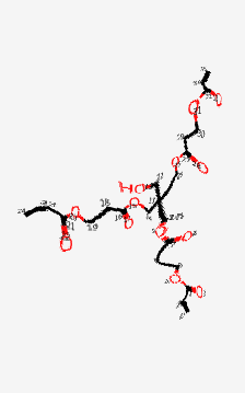 C=CC(=O)OCCC(=O)OCC(CO)(COC(=O)CCOC(=O)C=C)COC(=O)CCOC(=O)C=C